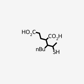 CCCCC(C(C)S)C(CCC(=O)O)C(=O)O